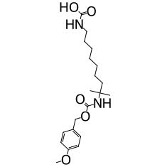 COc1ccc(COC(=O)NC(C)(C)CCCCCCCNC(=O)O)cc1